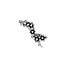 CCOc1nc2c(Oc3ccc(NC(=O)c4cnc(C)c(-c5ccc(F)cc5C)c4O)cc3F)ccnc2cc1OC